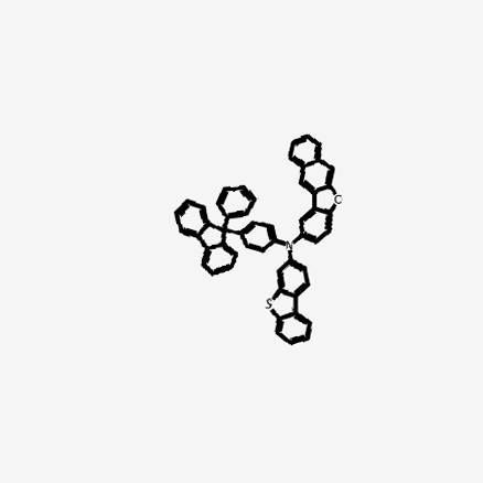 c1ccc(C2(c3ccc(N(c4ccc5c(c4)sc4ccccc45)c4ccc5oc6cc7ccccc7cc6c5c4)cc3)c3ccccc3-c3ccccc32)cc1